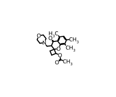 CC(=O)OC1CCC12Oc1c(C)c(C)cc(C)c1C(=O)C2CN1CCOCC1